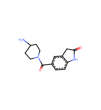 NC1CCN(C(=O)c2ccc3c(c2)CC(=O)N3)CC1